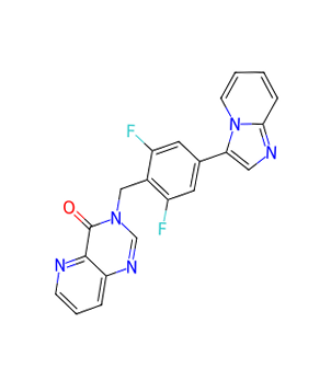 O=c1c2ncccc2ncn1Cc1c(F)cc(-c2cnc3ccccn23)cc1F